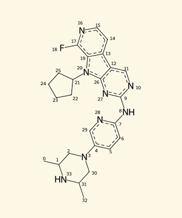 CC1CN(c2ccc(Nc3ncc4c5ccnc(F)c5n(C5CCCC5)c4n3)nc2)CC(C)N1